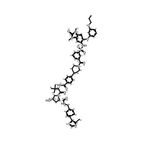 CCCOc1cccc(Oc2cc3c(cc2NS(=O)(=O)c2cccc(C(=O)N4CCC(c5ccc(C(=O)N[C@H](C(=O)N6C[C@H](O)C[C@H]6C(=O)NCc6ccc(-c7scnc7C)cc6)C(C)(C)C)cc5)CC4)c2)n(C)c(=O)n3C)c1